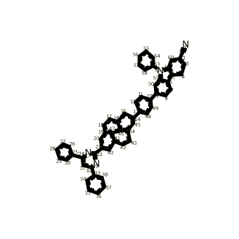 N#Cc1ccc2c3ccc(-c4ccc(-c5cc6ccc7cc(-c8nc(-c9ccccc9)cc(-c9ccccc9)n8)cc8ccc(c5)c6c78)cc4)cc3n(-c3ccccc3)c2c1